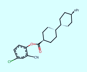 CCC[C@H]1CC[C@H]([C@H]2CC[C@H](C(=O)Oc3ccc(Cl)cc3C#N)CC2)CC1